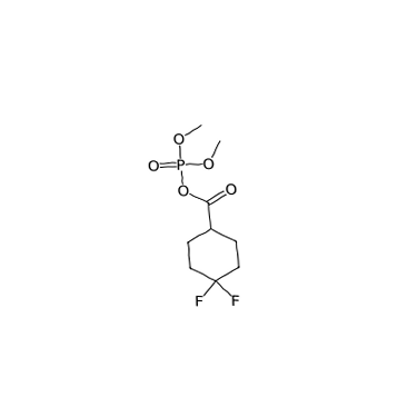 COP(=O)(OC)OC(=O)C1CCC(F)(F)CC1